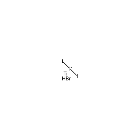 Br.I[I-]I.[Ti]